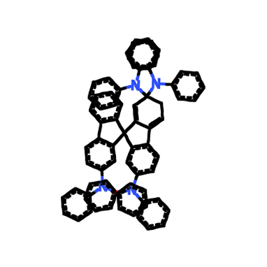 C1=C2C(=CC(N(c3ccccc3)c3ccccc3)(N(c3ccccc3)c3ccccc3)C1)C1(c3cc(N(c4ccccc4)c4ccccc4)ccc32)c2ccccc2-c2ccc(N(c3ccccc3)c3ccccc3)cc21